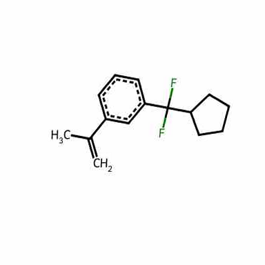 C=C(C)c1cccc(C(F)(F)C2CCCC2)c1